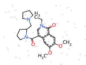 CCn1cc(C(=O)N2CCCC2CN2CCCC2)c2cc(OC)c(OC)cc2c1=O